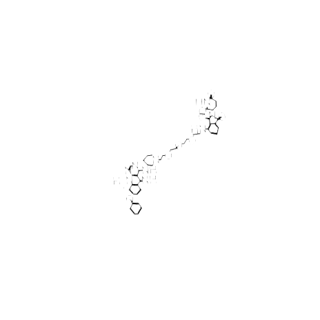 N=C(c1ccc(Oc2ccccc2)cc1)c1c(N)ncnc1NC1CCCN(CCOCCOCCOCCNc2cccc3c2C(=O)N(C2CCC(=O)NC2=O)C3=O)C1